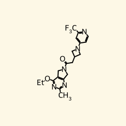 CCOc1nc(C)nc2c1CN(C(=O)CC1CN(c3ccnc(C(F)(F)F)c3)C1)C2